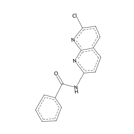 O=C(Nc1ccc2ccc(Cl)nc2n1)c1ccccc1